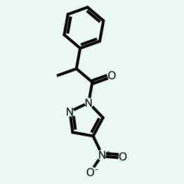 CC(C(=O)n1cc([N+](=O)[O-])cn1)c1ccccc1